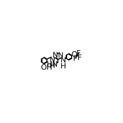 N=Cc1c(NCc2cccc(O)c2)ncnc1Nc1ccc(OC(F)(F)F)cc1